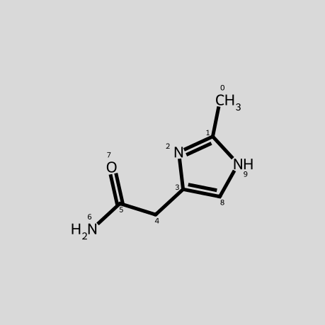 Cc1nc(CC(N)=O)c[nH]1